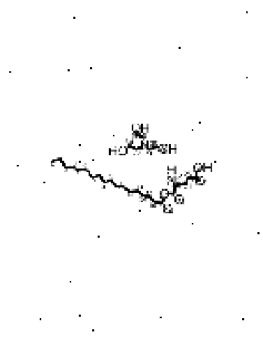 CCCCCCCCCCCCCCCCCC(=O)OC(=O)[C@@H](N)CCC(=O)O.OCCN(CCO)CCO